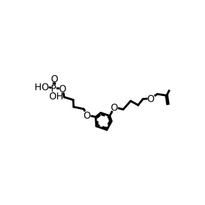 C=C(C)COCCCCOc1cccc(OCCCCOP(=O)(O)O)c1